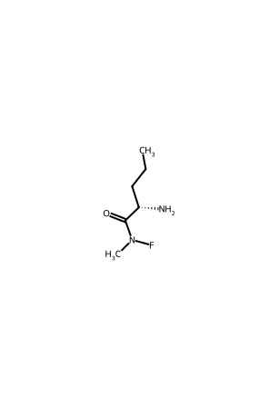 CCC[C@H](N)C(=O)N(C)F